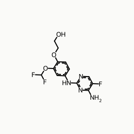 Nc1nc(Nc2ccc(OCCO)c(OC(F)F)c2)ncc1F